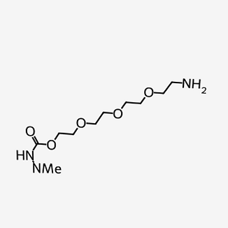 CNNC(=O)OCCOCCOCCOCCN